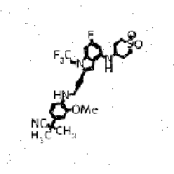 COc1cc(C(C)(C)C#N)ccc1NCC#Cc1cc2c(NC3CCS(=O)(=O)CC3)cc(F)cc2n1CC(F)(F)F